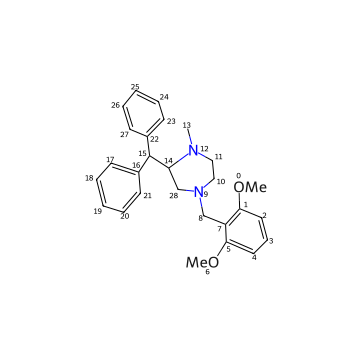 COc1cccc(OC)c1CN1CCN(C)C(C(c2ccccc2)c2ccccc2)C1